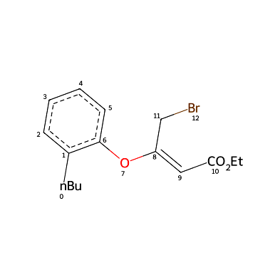 CCCCc1ccccc1O/C(=C/C(=O)OCC)CBr